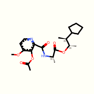 COc1ccnc(C(=O)N[C@@H](C)C(=O)O[C@@H](C)[C@@H](C)C2CCCC2)c1OC(C)=O